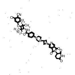 CC1(C)[C@H](NC(=O)c2ccc(N3CCN(C4CN(c5cc6c(cn5)C(=O)N(C5CCC(=O)NC5=O)C6=O)C4)CC3)cc2)C(C)(C)[C@H]1Oc1ccc(C#N)c(Cl)c1